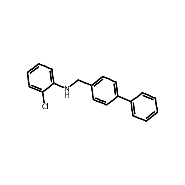 Clc1ccccc1NCc1ccc(-c2ccccc2)cc1